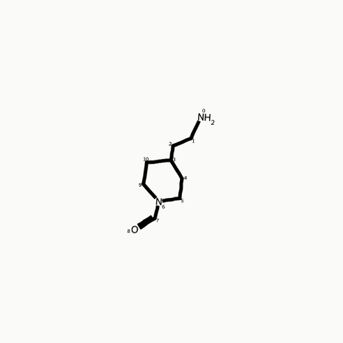 NCCC1CCN(C=O)CC1